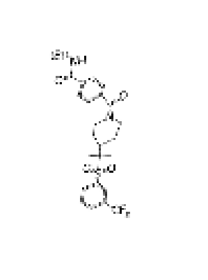 CC(C)(C)NC(=O)c1ccc(C(=O)N2CCC(C(C)(C)S(=O)(=O)c3cccc(C(F)(F)F)c3)CC2)cc1